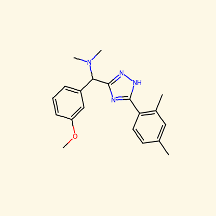 COc1cccc(C(c2n[nH]c(-c3ccc(C)cc3C)n2)N(C)C)c1